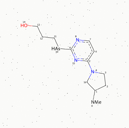 CNC1CCN(c2ccnc([AsH]CCCO)n2)C1